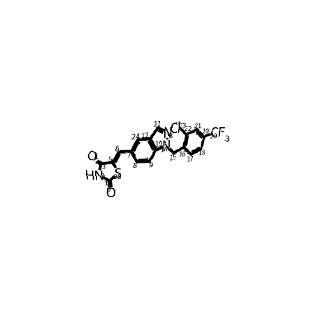 O=C1NC(=O)/C(=C/c2ccc3c(cnn3Cc3ccc(C(F)(F)F)cc3Cl)c2)S1